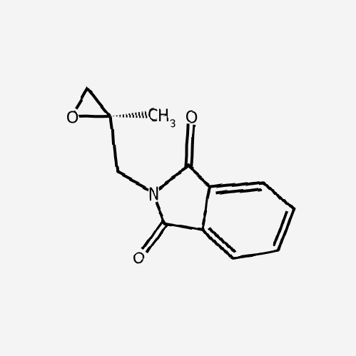 C[C@@]1(CN2C(=O)c3ccccc3C2=O)CO1